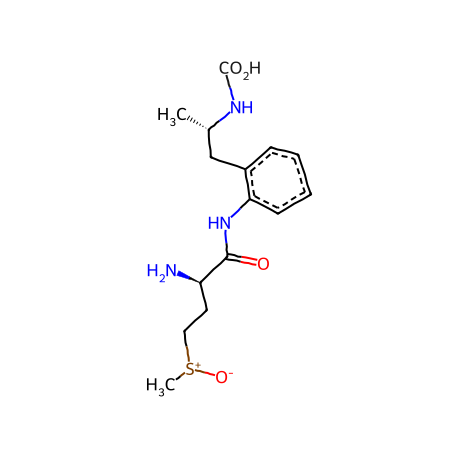 C[C@@H](Cc1ccccc1NC(=O)[C@H](N)CC[S+](C)[O-])NC(=O)O